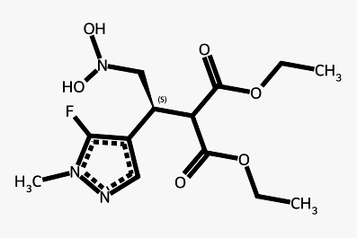 CCOC(=O)C(C(=O)OCC)[C@H](CN(O)O)c1cnn(C)c1F